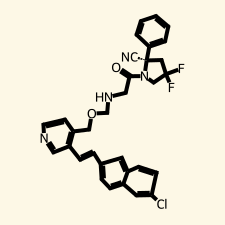 N#C[C@]1(c2ccccc2)CC(F)(F)CN1C(=O)CNCOCc1ccncc1/C=C/c1ccc2cc(Cl)ccc2c1